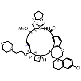 CO[C@H]1C/C=C/[C@H](OCCN2CCOCC2)[C@@H]2CC[C@H]2CN2C[C@@]3(CCCc4cc(Cl)ccc43)COc3ccc(cc32)C(=O)NS(=O)(=O)[C@@H]1C[C@@H]1CCCO1